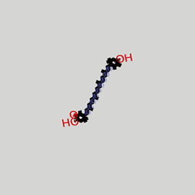 C=C1C(C)=C(/C=C/C(C)=C/C=C/C(C)=C/C=C/C=C(C)/C=C/C=C(C)/C=C/C2=C(C)C(=O)[C@H](O)CC2(C)C)C(C)(C)C[C@H]1O